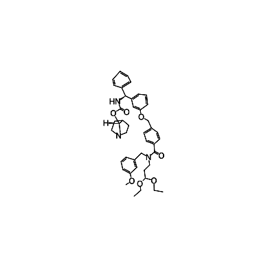 CCOC(CCN(Cc1cccc(OC)c1)C(=O)c1ccc(COc2cccc([C@@H](NC(=O)O[C@H]3CN4CCC3CC4)c3ccccc3)c2)cc1)OCC